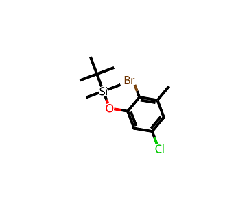 Cc1cc(Cl)cc(O[Si](C)(C)C(C)(C)C)c1Br